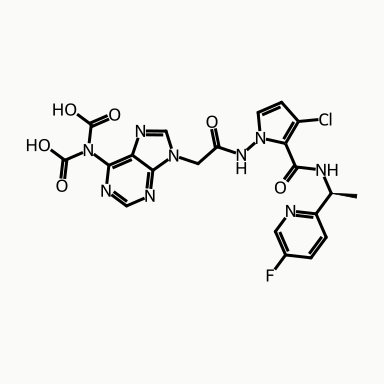 C[C@H](NC(=O)c1c(Cl)ccn1NC(=O)Cn1cnc2c(N(C(=O)O)C(=O)O)ncnc21)c1ccc(F)cn1